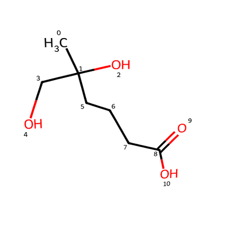 CC(O)(CO)CCCC(=O)O